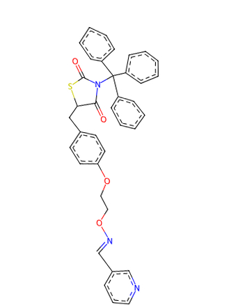 O=C1SC(Cc2ccc(OCCON=Cc3cccnc3)cc2)C(=O)N1C(c1ccccc1)(c1ccccc1)c1ccccc1